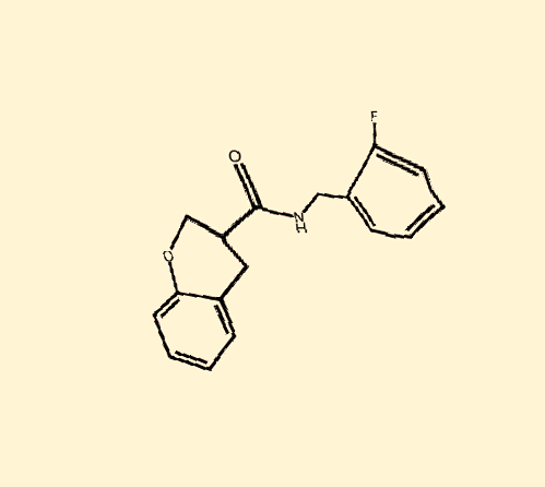 O=C(NCc1ccccc1F)C1COc2ccccc2C1